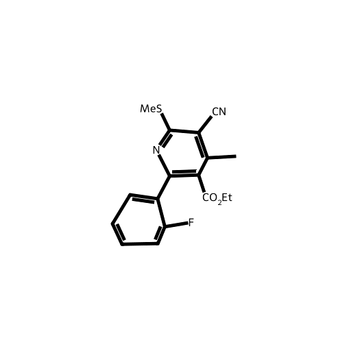 CCOC(=O)c1c(-c2ccccc2F)nc(SC)c(C#N)c1C